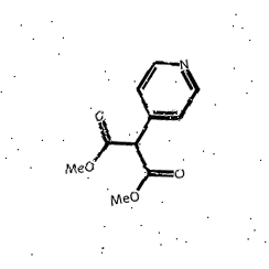 COC(=O)C(C(=O)OC)c1ccncc1